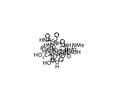 CNCC(=O)N[C@@H](CO)C(=O)N[C@@H](Cc1ccc(O)cc1)C(=O)N[C@@H](Cc1c[nH]c2ccccc12)C(=O)N[C@@H](Cc1ccc(O)cc1)C(=O)N[C@@H](CC(=O)O)C(=O)N[C@H](C(=O)N[C@@H](Cc1c[nH]c2ccccc12)C(=O)N[C@@H](Cc1ccccc1)C(C)=O)C(C)C